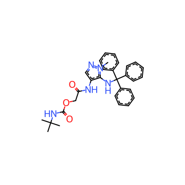 Cn1ncc(NC(=O)COC(=O)NC(C)(C)C)c1NC(c1ccccc1)(c1ccccc1)c1ccccc1